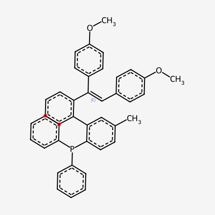 COc1ccc(/C=C(\c2ccc(OC)cc2)c2ccccc2-c2cc(C)ccc2P(c2ccccc2)c2ccccc2)cc1